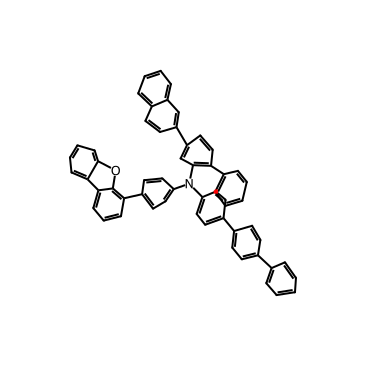 c1ccc(-c2ccc(-c3ccc(N(c4ccc(-c5cccc6c5oc5ccccc56)cc4)c4cc(-c5ccc6ccccc6c5)ccc4-c4ccccc4)cc3)cc2)cc1